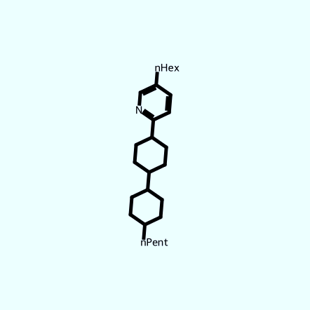 CCCCCCc1ccc(C2CCC(C3CCC(CCCCC)CC3)CC2)nc1